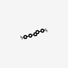 ISc1ccc(-c2ccc(-c3ccc4cc(-c5ccc(SI)cc5)ccc4c3)cc2)cc1